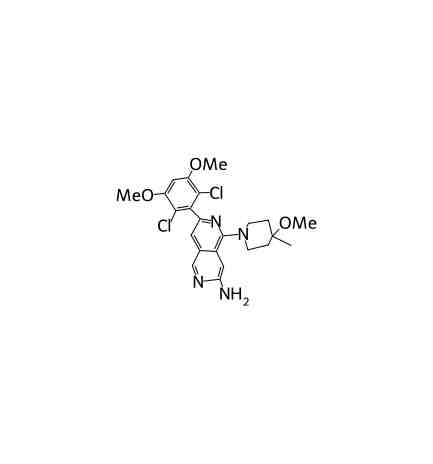 COc1cc(OC)c(Cl)c(-c2cc3cnc(N)cc3c(N3CCC(C)(OC)CC3)n2)c1Cl